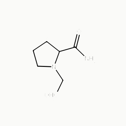 NC(=O)C1CCCN1CC=O